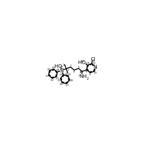 CC(C)(CCC[C@H](N)c1ccnc(Cl)c1O)[Si](O)(c1ccccc1)c1ccccc1